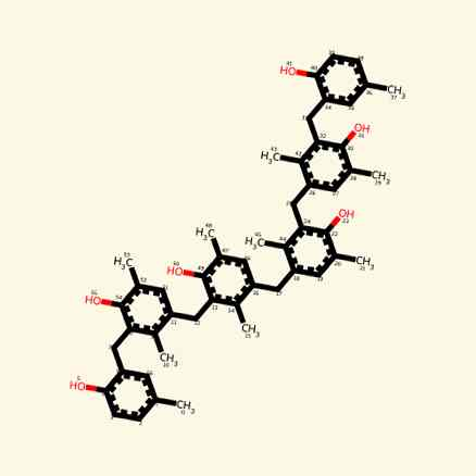 Cc1ccc(O)c(Cc2c(C)c(Cc3c(C)c(Cc4cc(C)c(O)c(Cc5cc(C)c(O)c(Cc6cc(C)ccc6O)c5C)c4C)cc(C)c3O)cc(C)c2O)c1